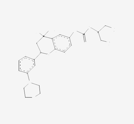 CC1(C)CC(c2cccc(N3CCOCC3)c2)Nc2ccc(OC(=O)NC(CO)CO)cc21